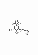 O=C(O)[C@]1(O)C=C(OCc2ccsc2)[C@@H](O)[C@H](O)C1